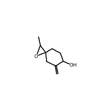 C=C1CC2(CCC1O)OC2C